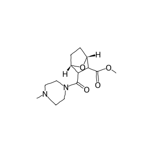 COC(=O)C1C(C(=O)N2CCN(C)CC2)[C@@H]2CC[C@H]1O2